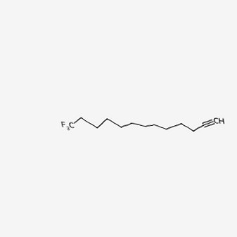 C#CCCCCCCCCCCC(F)(F)F